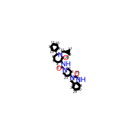 O=C(N[C@@H]1CCC[C@H](c2ccccc2)N(CC2CC2)C1=O)N1CCC(N2Cc3ccccc3NC2=O)CC1